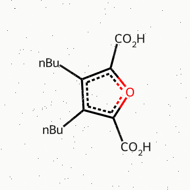 CCCCc1c(C(=O)O)oc(C(=O)O)c1CCCC